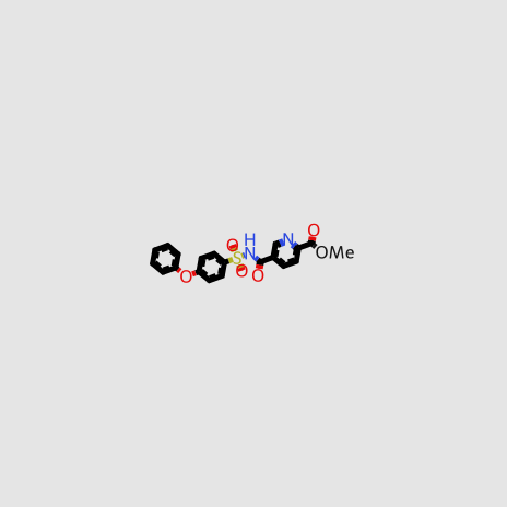 COC(=O)c1ccc(C(=O)NS(=O)(=O)c2ccc(Oc3ccccc3)cc2)cn1